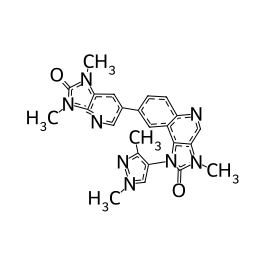 Cc1nn(C)cc1-n1c(=O)n(C)c2cnc3ccc(-c4cnc5c(c4)n(C)c(=O)n5C)cc3c21